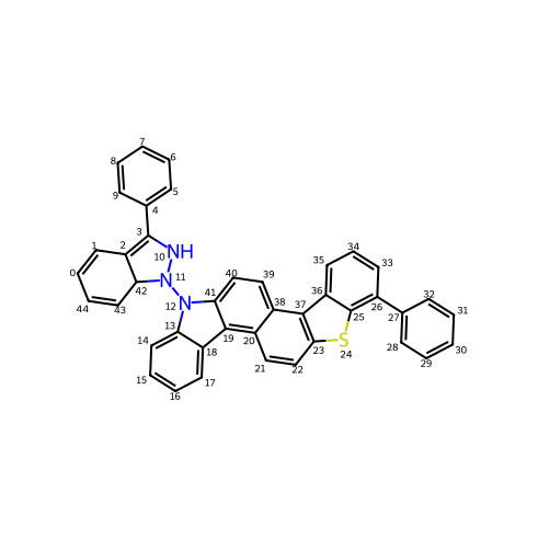 C1=CC2=C(c3ccccc3)NN(n3c4ccccc4c4c5ccc6sc7c(-c8ccccc8)cccc7c6c5ccc43)C2C=C1